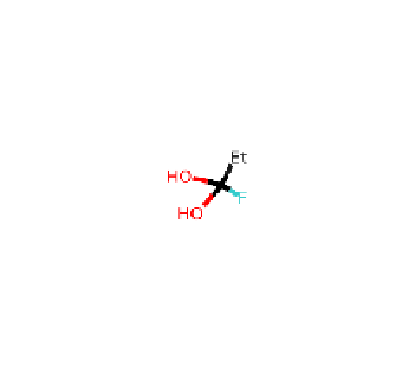 [CH2]CC(O)(O)F